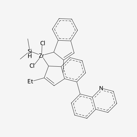 CCC1=Cc2c(-c3cccc4cccnc34)cccc2[CH]1[Zr]([Cl])([Cl])([CH]1C(C)=Cc2ccccc21)[SiH](C)C